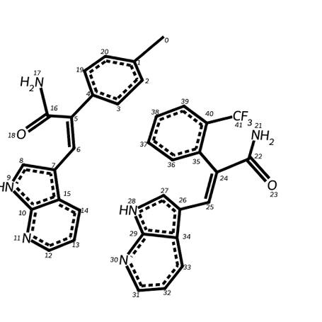 Cc1ccc(C(=Cc2c[nH]c3ncccc23)C(N)=O)cc1.NC(=O)C(=Cc1c[nH]c2ncccc12)c1ccccc1C(F)(F)F